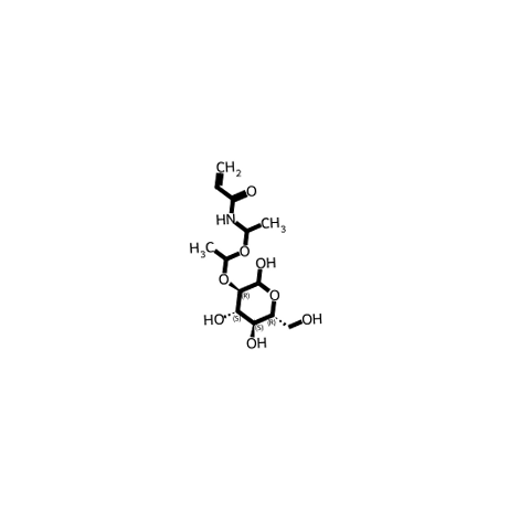 C=CC(=O)NC(C)OC(C)O[C@H]1C(O)O[C@H](CO)[C@@H](O)[C@@H]1O